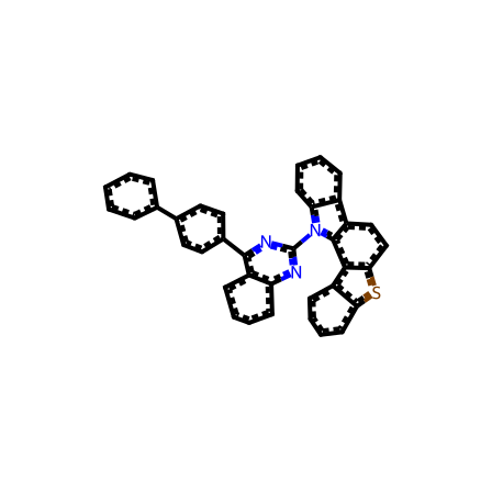 c1ccc(-c2ccc(-c3nc(-n4c5ccccc5c5ccc6sc7ccccc7c6c54)nc4ccccc34)cc2)cc1